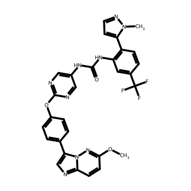 COc1ccc2ncc(-c3ccc(Oc4ncc(NC(=O)Nc5cc(C(F)(F)F)ccc5-c5ccnn5C)cn4)cc3)n2n1